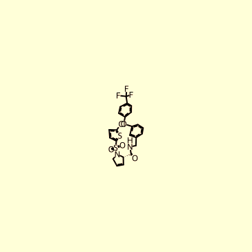 O=C(NCc1cccc(Oc2ccc(C(F)(F)F)cc2)c1)[C@@H]1C=CCN1S(=O)(=O)c1ccc(Cl)s1